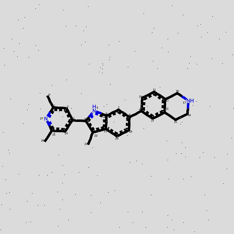 Cc1cc(-c2[nH]c3cc(-c4ccc5c(c4)CCNC5)ccc3c2C)cc(C)n1